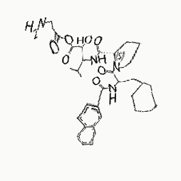 CC(C)C(NC(=O)[C@@H]1CCCN1C(=O)C(CC1CCCCC1)NC(=O)c1ccc2ccccc2c1)C(O)C(=O)OC(=O)CN